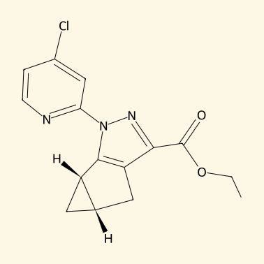 CCOC(=O)c1nn(-c2cc(Cl)ccn2)c2c1C[C@@H]1C[C@H]21